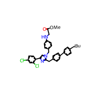 CCC(C)c1ccc(-c2ccc(Cc3nc(-c4ccc(Cl)cc4Cl)cn3Cc3ccc(NCC(=O)OC)cc3)cc2)cc1